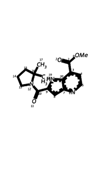 COC(=O)c1ccnc2cc(C(=O)N3CCCC3(C)C)[nH]c12